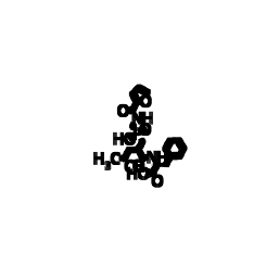 CC(C)CC(CP(=O)(O)CNC(=O)c1ccco1)C(=O)N[C@@H](Cc1ccccc1)C(=O)O